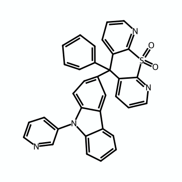 O=S1(=O)c2ncccc2C(c2ccccc2)(c2ccc3c(c2)c2ccccc2n3-c2cccnc2)c2cccnc21